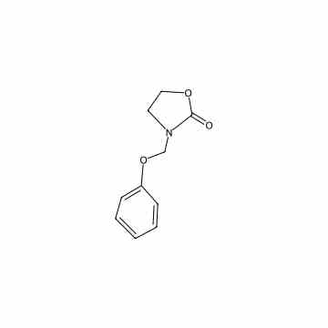 O=C1OCCN1COc1ccccc1